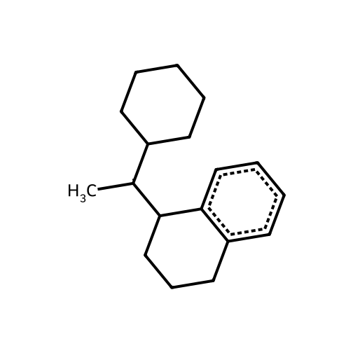 C[C](C1CCCCC1)C1CCCc2ccccc21